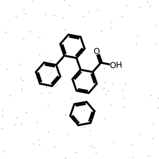 O=C(O)c1ccccc1-c1ccccc1-c1ccccc1.c1ccccc1